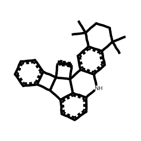 CC1(C)CCC(C)(C)c2cc3c(cc21)Nc1cccc2c1C31c3ccccc3C13c1ccccc1C23